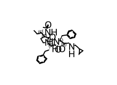 CC[C@H](C)[C@@]1(NC(C)=O)CCN([C@@H](CCc2ccccc2)C(=O)N[C@@H](Cc2ccccc2)[C@H](O)CNCC2CC2)C1=O